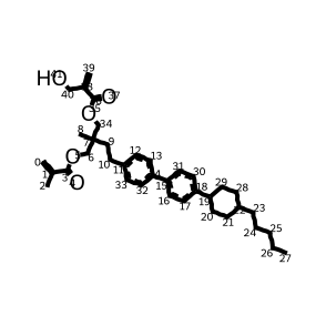 C=C(C)C(=O)OCC(C)(CCc1ccc(-c2ccc(C3CCC(CCCCC)CC3)cc2)cc1)COC(=O)C(=C)CO